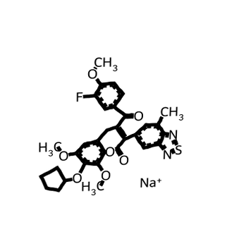 COc1ccc(C(=O)C(Cc2cc(OC)c(OC3CCCC3)c(OC)c2)=C(C(=O)[O-])c2cc(C)c3nsnc3c2)cc1F.[Na+]